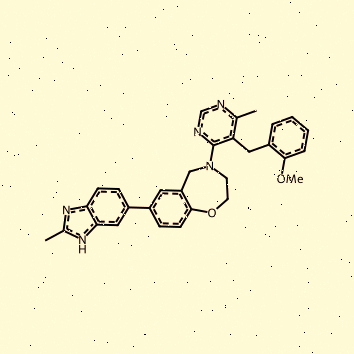 COc1ccccc1Cc1c(C)ncnc1N1CCOc2ccc(-c3ccc4nc(C)[nH]c4c3)cc2C1